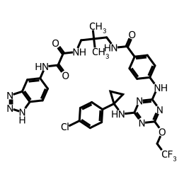 CC(C)(CNC(=O)C(=O)Nc1ccc2[nH]nnc2c1)CNC(=O)c1ccc(Nc2nc(NC3(c4ccc(Cl)cc4)CC3)nc(OCC(F)(F)F)n2)cc1